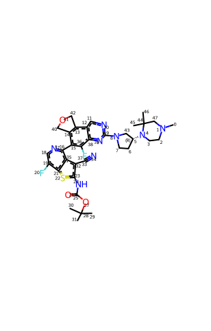 CN1CCN([C@@H]2CCN(c3ncc4c5c(c(-c6ncc(F)c7sc(NC(=O)OC(C)(C)C)c(C#N)c67)c(F)c4n3)COC5)C2)C(C)(C)C1